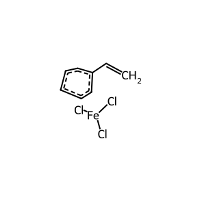 C=Cc1ccccc1.[Cl][Fe]([Cl])[Cl]